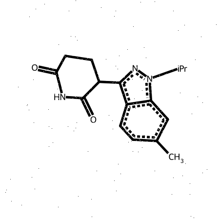 Cc1ccc2c(C3CCC(=O)NC3=O)nn(C(C)C)c2c1